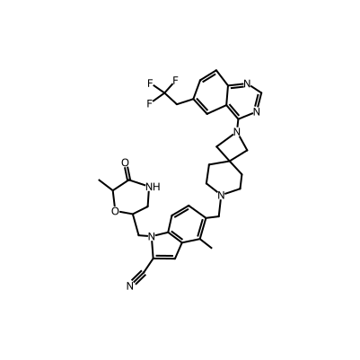 Cc1c(CN2CCC3(CC2)CN(c2ncnc4ccc(CC(F)(F)F)cc24)C3)ccc2c1cc(C#N)n2CC1CNC(=O)C(C)O1